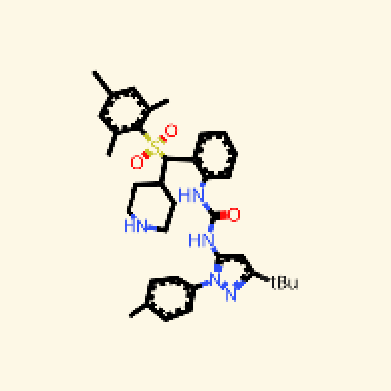 Cc1ccc(-n2nc(C(C)(C)C)cc2NC(=O)Nc2ccccc2C(C2CCNCC2)S(=O)(=O)c2c(C)cc(C)cc2C)cc1